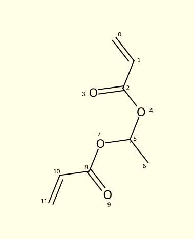 C=CC(=O)O[C](C)OC(=O)C=C